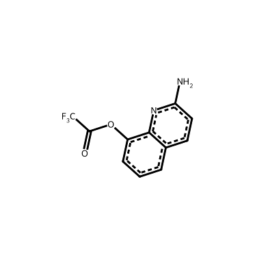 Nc1ccc2cccc(OC(=O)C(F)(F)F)c2n1